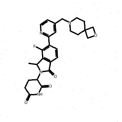 CC1c2c(ccc(-c3cc(CN4CCC5(CC4)COC5)ccn3)c2F)C(=O)N1C1CCC(=O)NC1=O